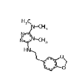 CN(C)c1nnc(NCCc2ccc3c(c2)OCO3)n1C